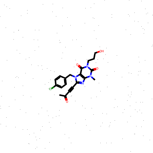 CC(=O)C#Cc1nc2c(c(=O)n(CCCO)c(=O)n2C)n1Cc1ccc(Cl)cc1